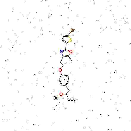 CCC(C)OC(Cc1ccc(OCCc2nc(-c3ccc(Br)s3)oc2C)cc1)C(=O)O